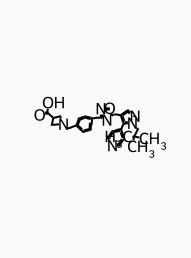 CC(C)(C)Cn1ncc(-c2nc(-c3ccc(CN4CC(C(=O)O)C4)cc3)no2)c1-c1ccncc1